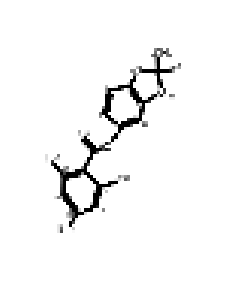 CC1(F)Oc2ccc(OC(=S)c3c(F)cc(Br)cc3F)cc2O1